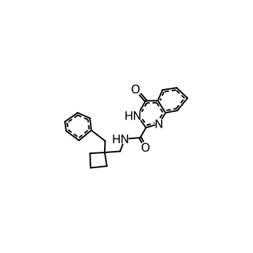 O=C(NCC1(Cc2ccccc2)CCC1)c1nc2ccccc2c(=O)[nH]1